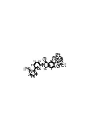 CCS(=O)(=O)N(c1ccc2c(c1)C(=O)N(c1cccc(-c3nncn3C(C)C)n1)C2)S(=O)(=O)CC